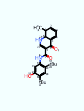 CC1C=CC=C2C(=O)C(C(=O)Nc3cc(O)c(C(C)(C)C)cc3C(C)(C)C)=CNC21